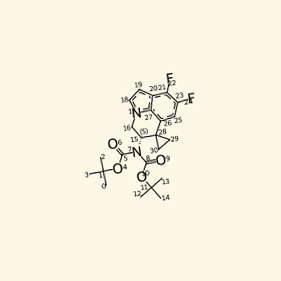 CC(C)(C)OC(=O)N(C(=O)OC(C)(C)C)[C@@H]1Cn2ccc3c(F)c(F)cc(c32)C12CC2